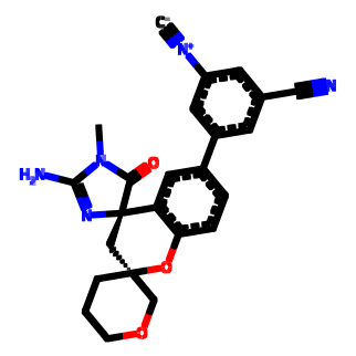 [C-]#[N+]c1cc(C#N)cc(-c2ccc3c(c2)[C@]2(C[C@]4(CCCOC4)O3)N=C(N)N(C)C2=O)c1